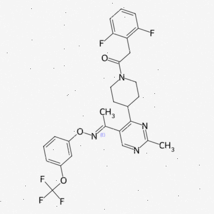 C/C(=N\Oc1cccc(OC(F)(F)F)c1)c1cnc(C)nc1C1CCN(C(=O)Cc2c(F)cccc2F)CC1